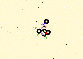 O=C(Nc1ccccc1)NC(Cc1ccccc1)(c1cc(F)cc(C(F)(F)F)c1)c1ccc(Cl)cn1